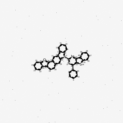 c1ccc(-c2nc(-n3c4ccccc4c4cc5c(ccc6c7ccccc7oc56)cc43)nc3c2sc2ccccc23)cc1